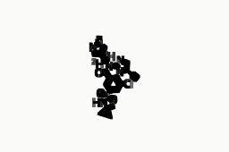 [2H]C([2H])(c1cnn(C)c1)N1C(=O)c2cc(S(=O)(=O)NC3(C)CC3)cc(Cl)c2N2C1=NC[C@H]2C#C